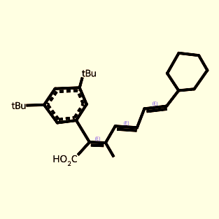 CC(/C=C/C=C/C1CCCCC1)=C(\C(=O)O)c1cc(C(C)(C)C)cc(C(C)(C)C)c1